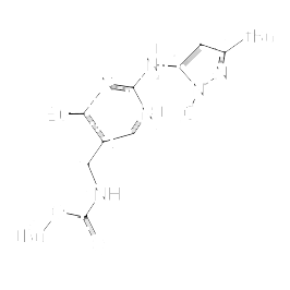 CCc1nc(Nc2cc(C(C)(C)C)nn2C)ncc1CNC(=O)OC(C)(C)C